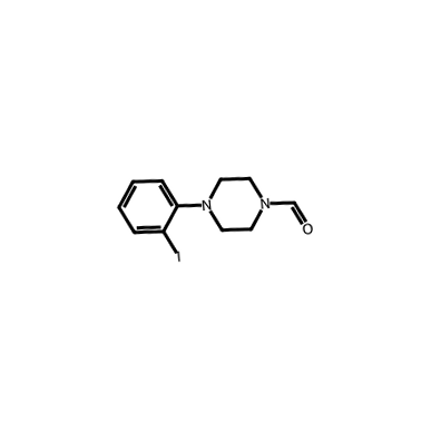 O=CN1CCN(c2ccccc2I)CC1